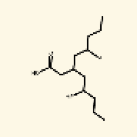 CCCC(S)CC(CC(=O)O)CC(S)CCC